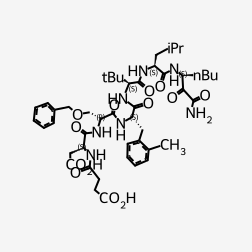 CCCC[C@H](NC(=O)[C@H](CC(C)C)NC(=O)[C@@H](NC(=O)[C@H](Cc1ccccc1C)NC(=O)[C@@H](COCc1ccccc1)NC(=O)[C@H](CC(=O)O)NC(=O)CCC(=O)O)C(C)(C)C)C(=O)C(N)=O